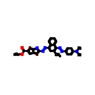 CCCCOC(=O)c1cc2sc(N=Nc3cc(C)c(N=Nc4ccc(N(CC)CC)cc4)c4ccccc34)nc2s1